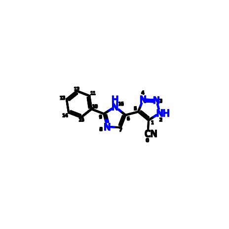 N#Cc1[nH]nnc1-c1cnc(-c2ccccc2)[nH]1